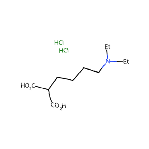 CCN(CC)CCCCC(C(=O)O)C(=O)O.Cl.Cl